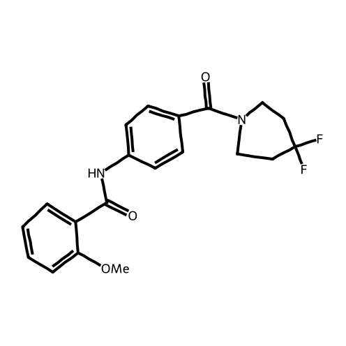 COc1ccccc1C(=O)Nc1ccc(C(=O)N2CCC(F)(F)CC2)cc1